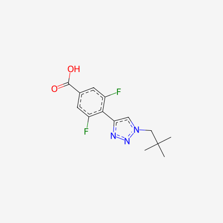 CC(C)(C)Cn1cc(-c2c(F)cc(C(=O)O)cc2F)nn1